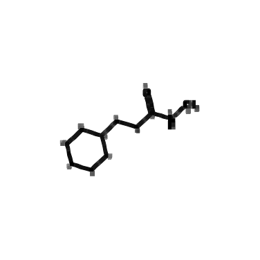 CNC(=O)CCC1CCCCC1